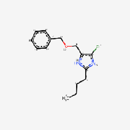 CCCCc1nc(Cl)c(COCc2ccccc2)[nH]1